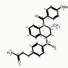 COc1ccc(C(=O)N2c3ccccc3[C@H](N(C(C)=O)c3ccc(CCC(N)=O)cc3)C[C@H]2C)cc1